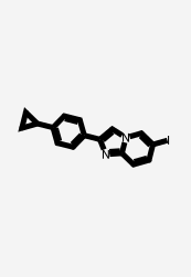 Ic1ccc2nc(-c3ccc(C4CC4)cc3)cn2c1